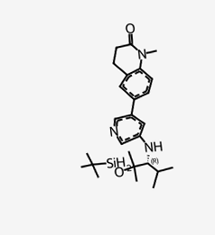 CC(C)[C@@H](Nc1cncc(-c2ccc3c(c2)CCC(=O)N3C)c1)C(C)(C)O[SiH2]C(C)(C)C